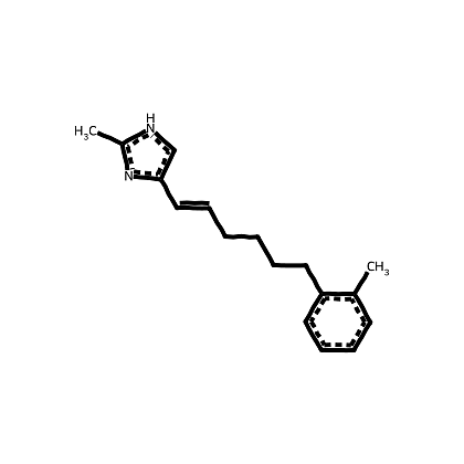 Cc1nc(C=CCCCCc2ccccc2C)c[nH]1